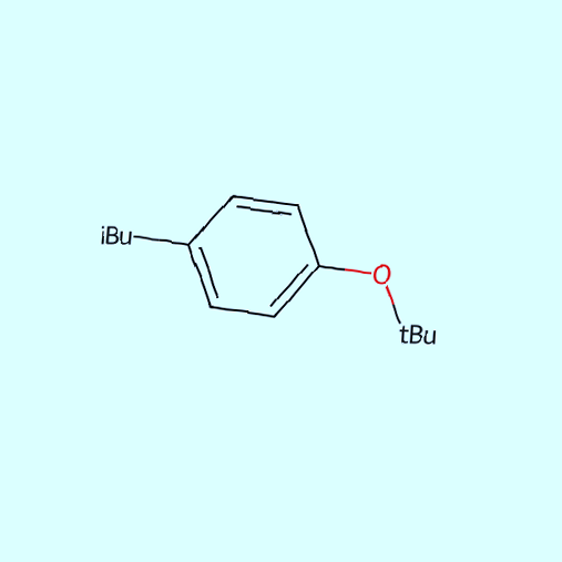 CCC(C)c1ccc(OC(C)(C)C)cc1